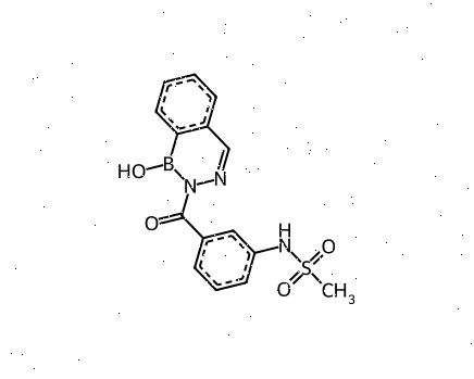 CS(=O)(=O)Nc1cccc(C(=O)N2N=Cc3ccccc3B2O)c1